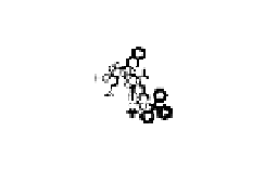 CSCCC(NC(=O)C1Cc2ccccc2CN1C(=O)[C@H](C(C)C)N(CC(CSC(c1ccccc1)(c1ccccc1)c1ccccc1)NC(=O)OC(C)(C)C)C(C)=O)C(=O)O